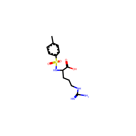 Cc1ccc(S(=O)(=O)NC(CCCNC(=N)N)C(=O)O)cc1